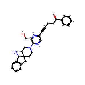 N[C@@H]1c2ccccc2CC12CCN(c1ncc(C#CCCC(=O)c3ccccc3)nc1CO)CC2